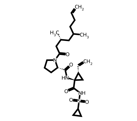 C=CCCC(C)C[C@@H](C)CC(=O)N1CCC[C@H]1C(=O)N[C@]1(C(=O)NS(=O)(=O)C2CC2)C[C@H]1C=C